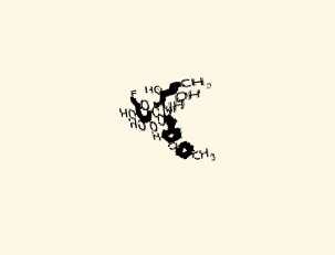 CC[C@@H](O)[C@@H](O)[C@H](CO[C@H]1OC(CF)[C@@H](O)[C@H](O)C1O)NC(=O)Cc1ccc(Oc2ccc(C)cc2)cc1